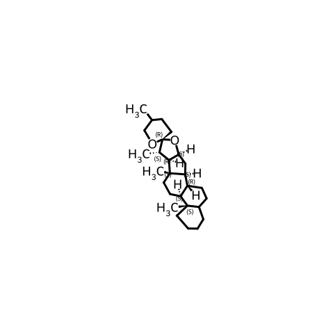 CC1CC[C@@]2(OC1)O[C@H]1C[C@H]3[C@@H]4CCC5CCCC[C@]5(C)[C@H]4CC[C@]3(C)[C@H]1[C@@H]2C